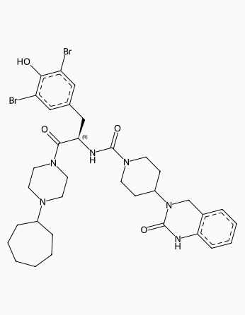 O=C(N[C@H](Cc1cc(Br)c(O)c(Br)c1)C(=O)N1CCN(C2CCCCCC2)CC1)N1CCC(N2Cc3ccccc3NC2=O)CC1